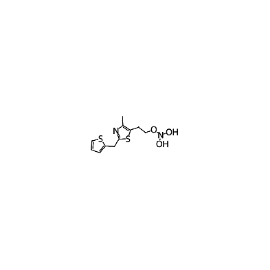 Cc1nc(Cc2cccs2)sc1CCON(O)O